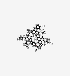 CCNC(=O)[C@@H]1CCCN1C(=O)[C@H](CCCNC(=N)N)NC(=O)C(CC(C)C)NC(=O)[C@@H](COC(C)(C)C)NC(=O)[C@H](Cc1ccc(O)cc1)NC(=O)[C@H](CO)NC(=O)[C@H](Cc1c[nH]c2ccccc12)NC(=O)[C@H](Cc1c[nH]cn1)NC(=O)[C@@H]1CCC(=O)N1